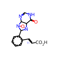 O=C(O)/C=C/c1ccccc1C1N2ON1C1C(=O)NC=NC12